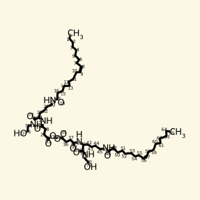 CCCCCCCC/C=C\CCCCCCCC(=O)NCCCCC(NC(=O)CCC(=O)OOC(=O)CCC(=O)NC(CCCCNC(=O)CCCCCCC/C=C\CCCCCCCC)C(=O)NCCO)C(=O)NCCO